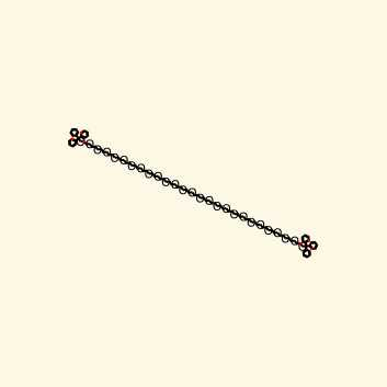 c1ccc(C(OCCOCCOCCOCCOCCOCCOCCOCCOCCOCCOCCOCCOCCOCCOCCOCCOCCOCCOCCOCCOCCOCCOCCOCCOCCOCCOC(c2ccccc2)(c2ccccc2)c2ccccc2)(c2ccccc2)c2ccccc2)cc1